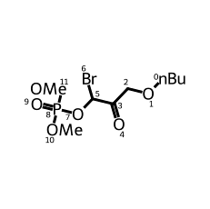 CCCCOCC(=O)C(Br)OP(=O)(OC)OC